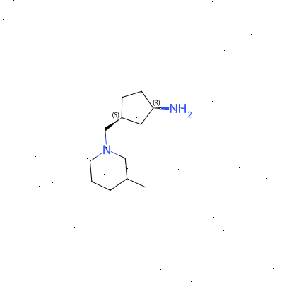 CC1CCCN(C[C@H]2CC[C@@H](N)C2)C1